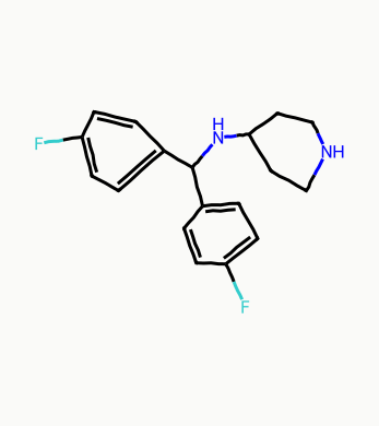 Fc1ccc(C(NC2CCNCC2)c2ccc(F)cc2)cc1